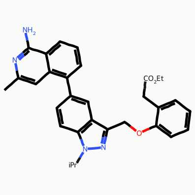 CCOC(=O)Cc1ccccc1OCc1nn(C(C)C)c2ccc(-c3cccc4c(N)nc(C)cc34)cc12